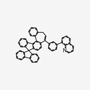 C1=C(c2cccc(-c3cccc4cccnc34)c2)c2ccc3c(c2-c2ccccc2C1)-c1ccccc1C31c2ccccc2-c2ccccc21